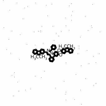 CC1(C)c2ccccc2-c2ccc(-c3cc(-c4ccccc4-c4ccc5c(c4)Oc4cc6c(cc4O5)C(C)(C)c4ccccc4-6)nc(-c4ccccc4)n3)cc21